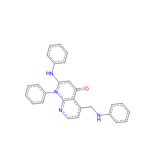 O=c1cc(Nc2ccccc2)n(-c2ccccc2)c2nccc(CNc3ccccc3)c12